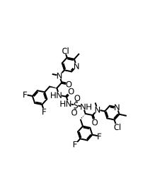 Cc1ncc(N(C)C(=O)[C@H](Cc2cc(F)cc(F)c2)NC(=O)NS(=O)(=O)N[C@@H](Cc2cc(F)cc(F)c2)C(=O)N(C)c2cnc(C)c(Cl)c2)cc1Cl